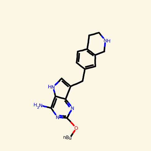 CCCCOc1nc(N)c2[nH]cc(Cc3ccc4c(c3)CNCC4)c2n1